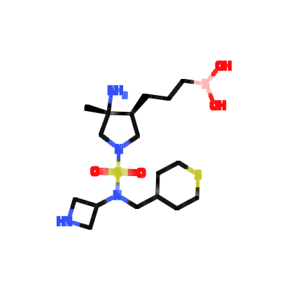 C[C@]1(N)CN(S(=O)(=O)N(CC2CCSCC2)C2CNC2)C[C@@H]1CCCB(O)O